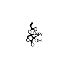 C=CC(=O)OC1(OC(C)C)COC(=O)C1(C)O